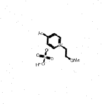 COCC[n+]1ccc(C(C)=O)cc1.O=S(=O)([O-])[O-].[H+]